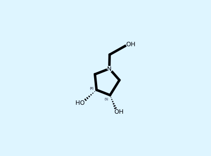 OCN1C[C@@H](O)[C@@H](O)C1